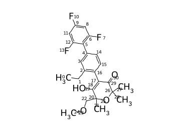 CCc1cc(-c2c(F)cc(F)cc2F)ccc1C1=C(O)C(C)(COC)OC(C)(C)C1=O